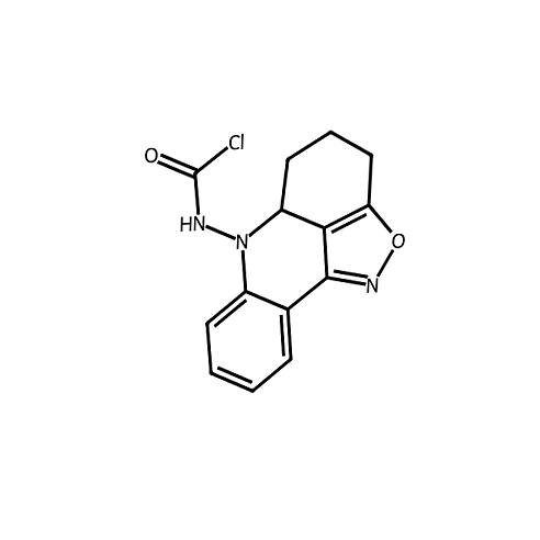 O=C(Cl)NN1c2ccccc2-c2noc3c2C1CCC3